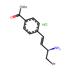 COC(=O)c1ccc(/C=C/[C@@H](N)CC(C)C)cc1.Cl